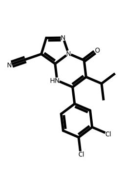 CC(C)c1c(-c2ccc(Cl)c(Cl)c2)[nH]c2c(C#N)cnn2c1=O